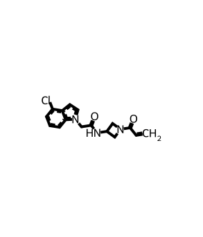 C=CC(=O)N1CC(NC(=O)Cn2ccc3c(Cl)cccc32)C1